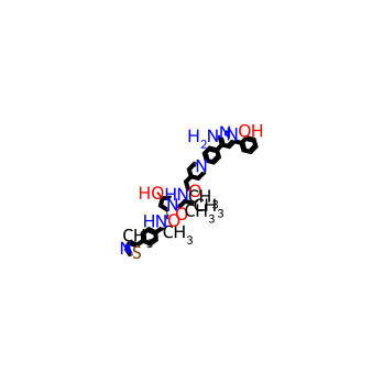 Cc1ncsc1-c1ccc([C@H](C)NC(=O)[C@@H]2C[C@@H](O)CN2C(=O)[C@@H](NC(=O)CC2CCN(c3ccc(-c4cc(-c5ccccc5O)nnc4N)cc3)CC2)C(C)(C)C)cc1